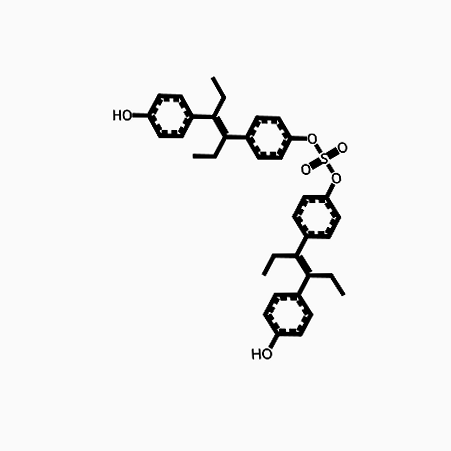 CC/C(=C(/CC)c1ccc(OS(=O)(=O)Oc2ccc(/C(CC)=C(\CC)c3ccc(O)cc3)cc2)cc1)c1ccc(O)cc1